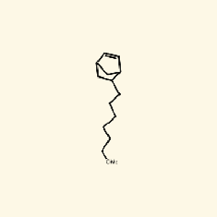 COCCCCCCC1CC2C=CC1C2